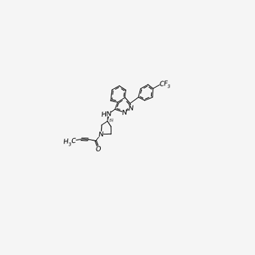 CC#CC(=O)N1CC[C@H](Nc2nnc(-c3ccc(C(F)(F)F)cc3)c3ccccc23)C1